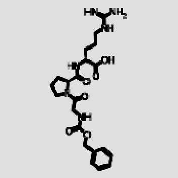 N=C(N)NCCC[C@H](NC(=O)[C@@H]1CCCN1C(=O)CNC(=O)OCc1ccccc1)C(=O)O